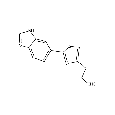 O=CCCc1csc(-c2ccc3nc[nH]c3c2)n1